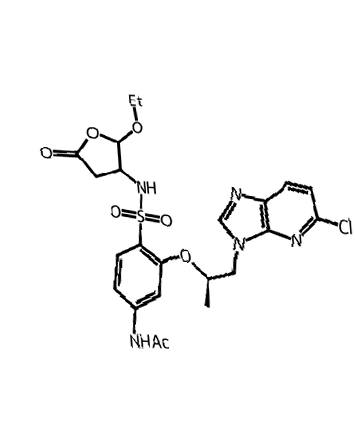 CCOC1OC(=O)CC1NS(=O)(=O)c1ccc(NC(C)=O)cc1O[C@H](C)Cn1cnc2ccc(Cl)nc21